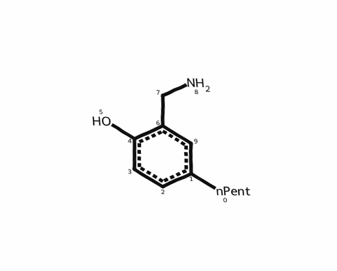 CCCCCc1ccc(O)c(CN)c1